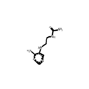 NC(=O)NCCNc1cncnc1N